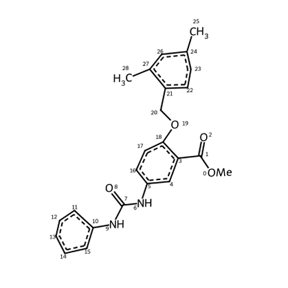 COC(=O)c1cc(NC(=O)Nc2ccccc2)ccc1OCc1ccc(C)cc1C